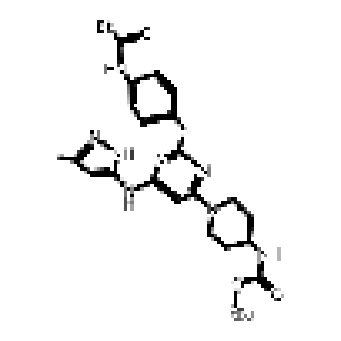 CCC(=O)Nc1ccc(Sc2nc(Nc3cc(C)n[nH]3)cc(N3CCC(NC(=O)OC(C)(C)C)CC3)n2)cc1